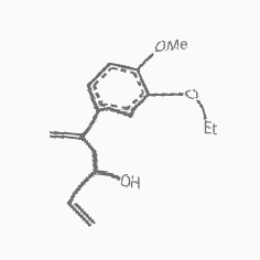 C=CC(O)C(=C)c1ccc(OC)c(OCC)c1